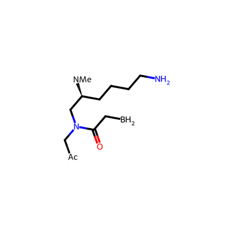 BCC(=O)N(CC(C)=O)C[C@H](CCCCN)NC